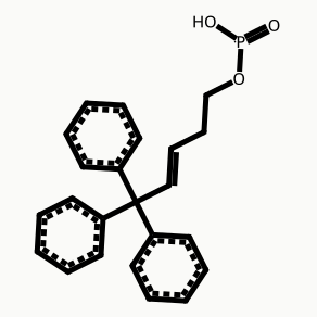 O=[P](O)OCCC=CC(c1ccccc1)(c1ccccc1)c1ccccc1